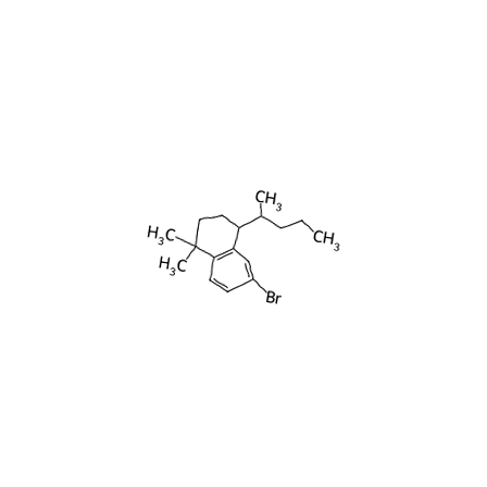 CCCC(C)C1CCC(C)(C)c2ccc(Br)cc21